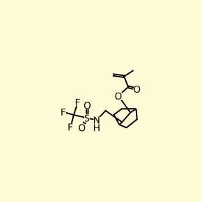 C=C(C)C(=O)OC1C2CCC(CC2)C1CNS(=O)(=O)C(F)(F)F